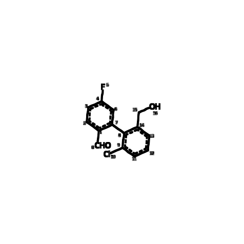 O=Cc1ccc(F)cc1-c1c(Cl)cccc1CO